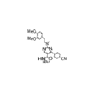 CCC(C)NC(=O)c1cnc(N(C)CCc2ccc(OC)c(OC)c2)nc1-c1ccc(C#N)cc1